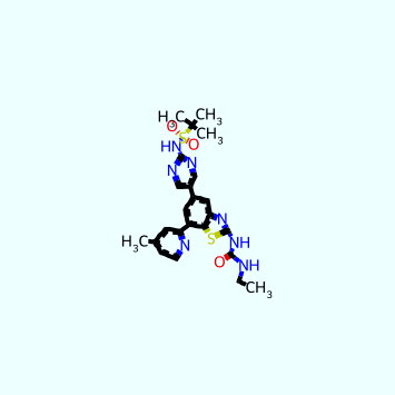 CCNC(=O)Nc1nc2cc(-c3cnc(NS(=O)(=O)C(C)(C)C)nc3)cc(-c3cc(C)ccn3)c2s1